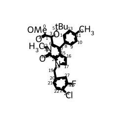 COC(=O)C(OC(C)(C)C)c1c(-c2ccc(C)cc2)c2ccn(Cc3ccc(Cl)c(F)c3)c2c(=O)n1C